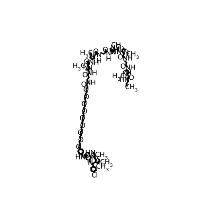 CCCNC(=O)c1nc(NC(=O)CCNC(=O)c2c(NC(=O)c3nc(NC(=O)CCNC(=O)c4cc(NC(=O)c5nc(NC(=O)CCNC(=O)COCCOCCOCCOCCOCCOCCOCCOCCOc6ccc(NC(=O)C[C@@H]7N=C(c8ccc(Cl)cc8)c8c(sc(C)c8C)N(C(C)=N)C7=N)cc6)cn5C)cn4C)cn3C)ccn2C)cn1C